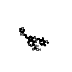 COc1c(C)cnc(Cn2nc3cc(CCN[C@@H]4CCOC4)c4c-3c(n2)C(NC(=O)O)=NSC4)c1C